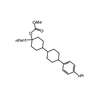 CCCCCC1(OC(=O)OC)CCC(C2CCC(c3ccc(CCC)cc3)CC2)CC1